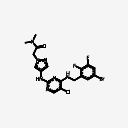 CN(C)C(=O)Cn1cc(Nc2ncc(Cl)c(NCc3cc(Br)cc(F)c3F)n2)cn1